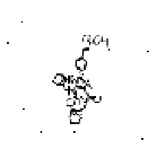 O=C(O)/C=C/c1ccc(-c2nc3c(=O)n(CC4CC5CCC4C5)c(=O)n(CC4CC5CCC4C5)c3[nH]2)cc1